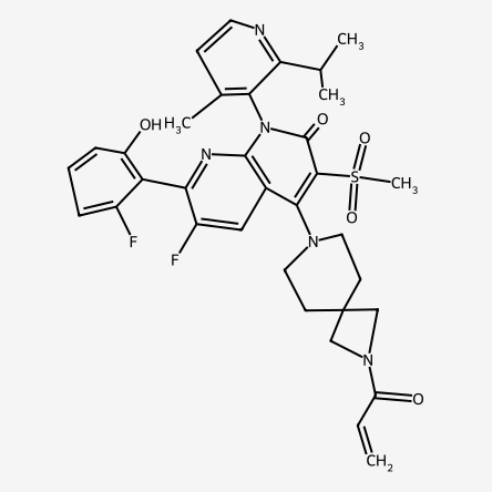 C=CC(=O)N1CC2(CCN(c3c(S(C)(=O)=O)c(=O)n(-c4c(C)ccnc4C(C)C)c4nc(-c5c(O)cccc5F)c(F)cc34)CC2)C1